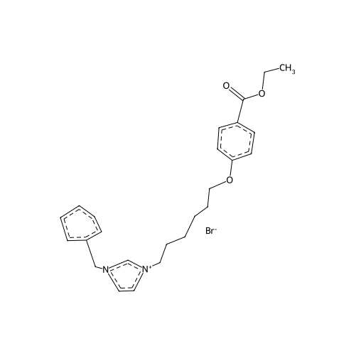 CCOC(=O)c1ccc(OCCCCCC[n+]2ccn(Cc3ccccc3)c2)cc1.[Br-]